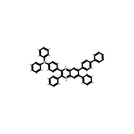 c1ccc(-c2ccc(-c3cc4nc(-c5ccc(N(c6ccccc6)c6ccccc6)cc5)c(-c5ccccc5)nc4cc3-c3ccccc3)cc2)cc1